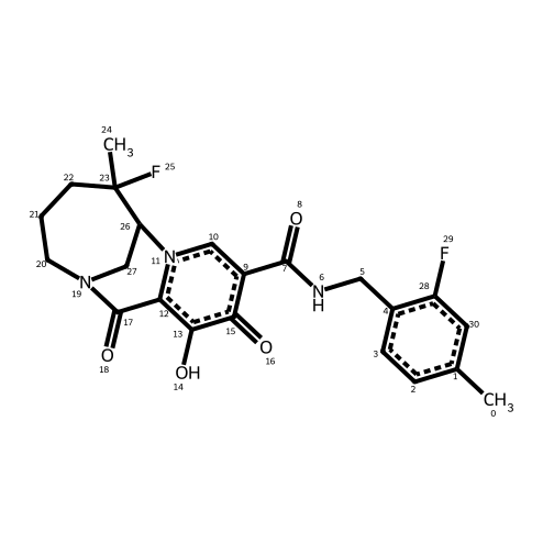 Cc1ccc(CNC(=O)c2cn3c(c(O)c2=O)C(=O)N2CCCC(C)(F)C3C2)c(F)c1